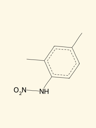 Cc1ccc(N[N+](=O)[O-])c(C)c1